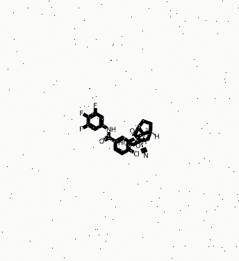 N#C[C@]1(CO)CC2CC[C@@H](C1)[C@H]2S(=O)(=O)c1cc(C(=O)Nc2cc(F)c(F)c(F)c2)ccc1Cl